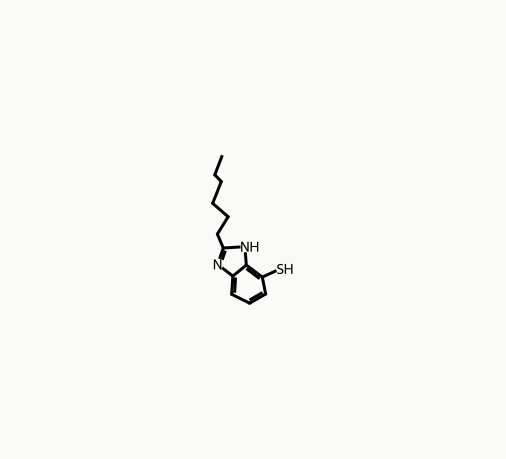 CCCCCCc1nc2cccc(S)c2[nH]1